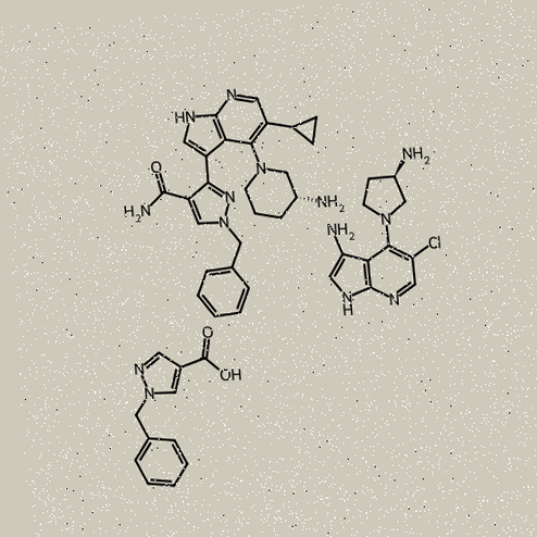 NC(=O)c1cn(Cc2ccccc2)nc1-c1c[nH]c2ncc(C3CC3)c(N3CCC[C@@H](N)C3)c12.Nc1c[nH]c2ncc(Cl)c(N3CC[C@@H](N)C3)c12.O=C(O)c1cnn(Cc2ccccc2)c1